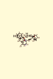 C/C(Cc1ccccc1)=C(C#C[C@@]1(O)CN2CCC1CC2)\C=C/C(C)N1C[C@@H](CO)[C@H](CO)C1